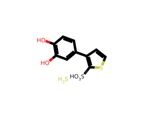 O=S(=O)(O)c1sccc1-c1ccc(O)c(O)c1.S